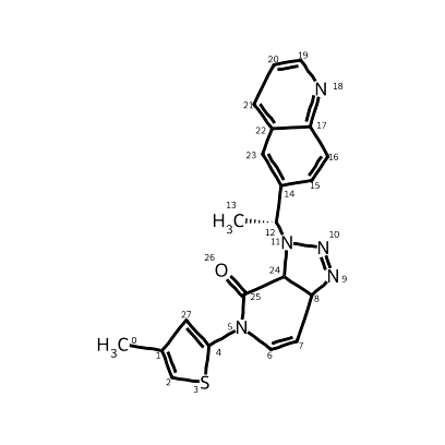 Cc1csc(N2C=CC3N=NN([C@H](C)c4ccc5ncccc5c4)C3C2=O)c1